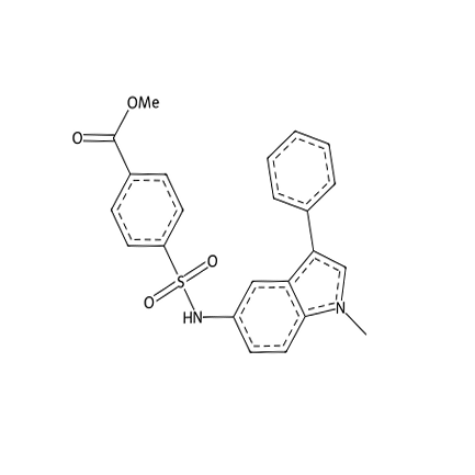 COC(=O)c1ccc(S(=O)(=O)Nc2ccc3c(c2)c(-c2ccccc2)cn3C)cc1